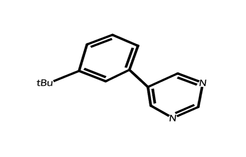 CC(C)(C)c1cccc(-c2cncnc2)c1